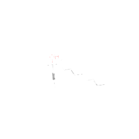 CC#CC(C)(O)C(C)CC=CCCC=CC